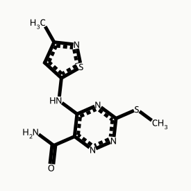 CSc1nnc(C(N)=O)c(Nc2cc(C)ns2)n1